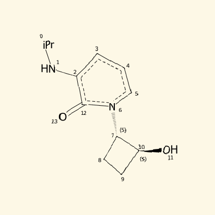 CC(C)Nc1cccn([C@H]2CC[C@@H]2O)c1=O